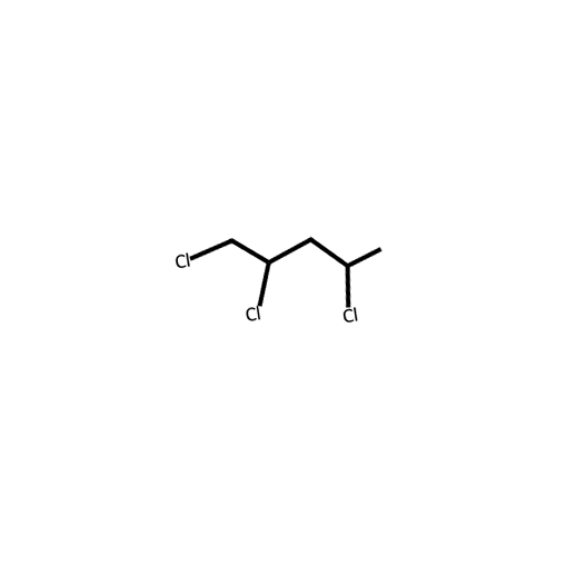 CC(Cl)CC(Cl)CCl